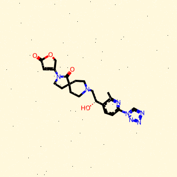 Cc1nc(-n2cnnn2)ccc1[C@H](O)CN1CCC2(CC1)CCN(C1=CC(=O)OC1)C2=O